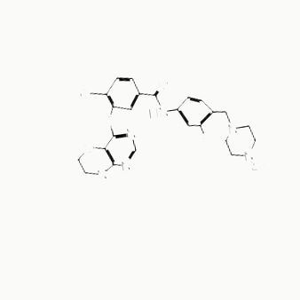 CC(=O)N1CCN(Cc2ccc(NC(=O)c3ccc(Cl)c(Oc4ncnc5c4OCCN5)c3)cc2C(F)(F)F)CC1